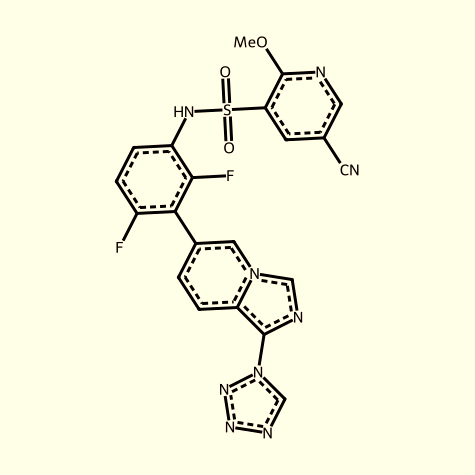 COc1ncc(C#N)cc1S(=O)(=O)Nc1ccc(F)c(-c2ccc3c(-n4cnnn4)ncn3c2)c1F